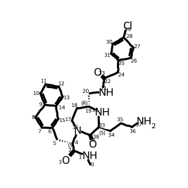 CNC(=O)[C@H](Cc1ccc2ccccc2c1)N1CC[C@H](CNC(=O)Cc2ccc(Cl)cc2)N[C@@H](CCCN)C1=O